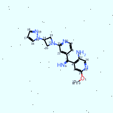 CC(C)Oc1cc(C(=N)c2ccnc(N3CC(n4cccn4)C3)c2)c(N)cn1